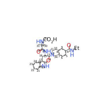 CCNC(=O)c1ccc2c(c1)CCN(C(=O)C(Cc1c[nH]c3ccccc13)NC(=O)C(C)(C)NC(=O)O)C2